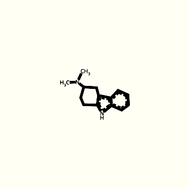 CN(C)C1CCc2[nH]c3ccccc3c2C1